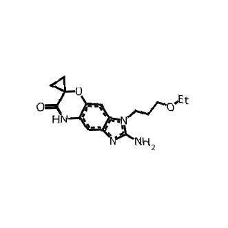 CCOCCCn1c(N)nc2cc3c(cc21)OC1(CC1)C(=O)N3